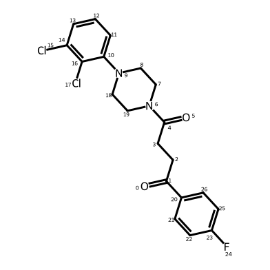 O=C(CCC(=O)N1CCN(c2cccc(Cl)c2Cl)CC1)c1ccc(F)cc1